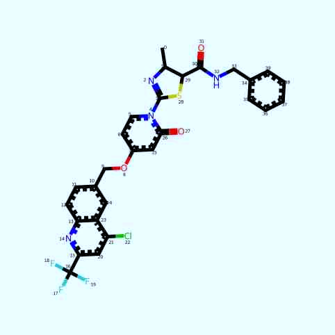 CC1N=C(n2ccc(OCc3ccc4nc(C(F)(F)F)cc(Cl)c4c3)cc2=O)SC1C(=O)NCc1ccccc1